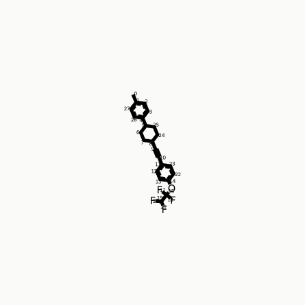 Cc1ccc(C2CCC(C#Cc3ccc(OC(F)(F)C(F)F)cc3)CC2)cc1